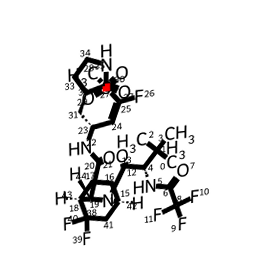 CC(C)(C)[C@H](NC(=O)C(F)(F)F)C(=O)N1[C@H]2CC[C@@H]([C@@H]1C(=O)N[C@@H](/C=C(/F)S(C)(=O)=O)C[C@H]1CCNC1=O)C(F)(F)C2